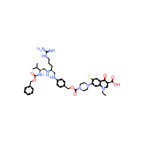 CCn1cc(C(=O)O)c(=O)c2cc(F)c(N3CCN(C(=O)OCc4ccc(NC[C@H](CCCNC(=N)N)NC[C@@H](NC(=O)OCc5ccccc5)C(C)C)cc4)CC3)cc21